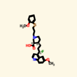 COc1ccc2nccc([C@@H](F)CC[C@@H]3CCN(CCCSc4ccccc4OC)C[C@@H]3C(=O)O)c2c1